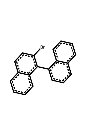 Brc1ccc2ccccc2c1-c1cccc2ccccc12